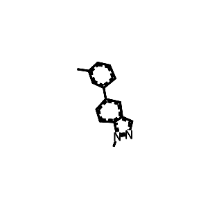 Cc1cccc(-c2ccc3c(cnn3C)c2)c1